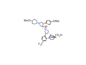 COC[C@H]1CN(C(=O)[C@]2(F)CN([C@H]3CC[C@H](OC)CC3)C[C@H]2c2ccc(OC)cc2)C[C@@H]1c1ccc(C(F)(F)F)cc1N1CCC(C)(C(=O)O)CC1